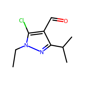 CCn1nc(C(C)C)c(C=O)c1Cl